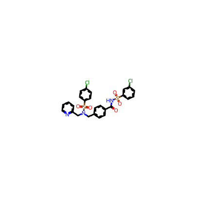 O=C(NS(=O)(=O)c1cccc(Cl)c1)c1ccc(CN(Cc2ccccn2)S(=O)(=O)c2ccc(Cl)cc2)cc1